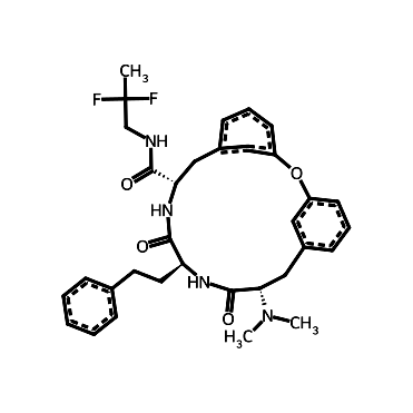 CN(C)[C@H]1Cc2cccc(c2)Oc2cccc(c2)C[C@@H](C(=O)NCC(C)(F)F)NC(=O)[C@H](CCc2ccccc2)NC1=O